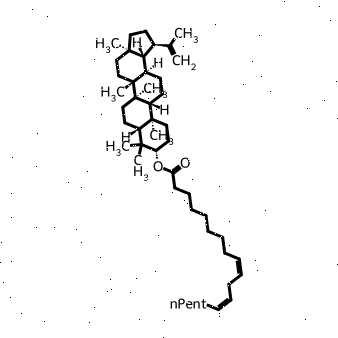 C=C(C)[C@@H]1CC[C@]2(C)CC[C@]3(C)[C@H](CC[C@@H]4[C@@]5(C)CC[C@H](OC(=O)CCCCCCC/C=C\C/C=C\CCCCC)C(C)(C)[C@@H]5CC[C@]43C)[C@@H]12